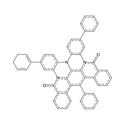 O=c1c2ccccc2c2c(-c3ccccc3)c3c4ccccc4c(=O)n4c3c3c2n1-c1cc(C2=CCCC=C2)ccc1N3c1ccc(-c2ccccc2)cc1-4